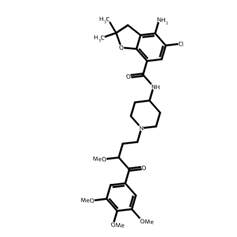 COc1cc(C(=O)C(CCN2CCC(NC(=O)c3cc(Cl)c(N)c4c3OC(C)(C)C4)CC2)OC)cc(OC)c1OC